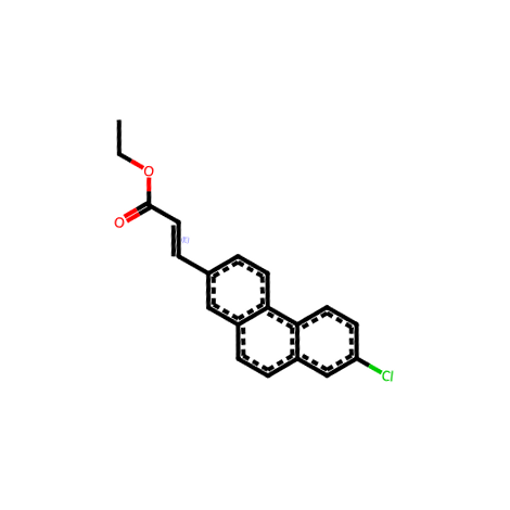 CCOC(=O)/C=C/c1ccc2c(ccc3cc(Cl)ccc32)c1